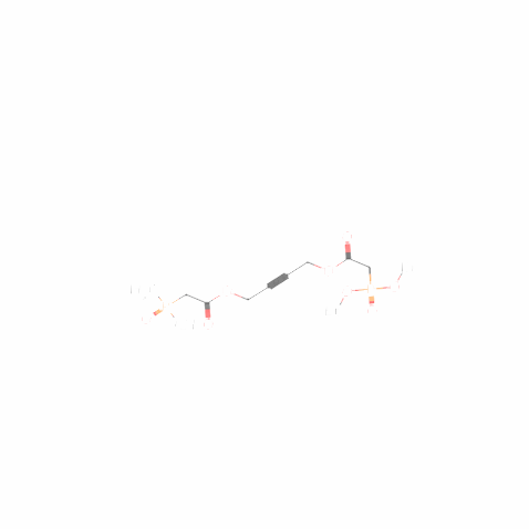 CCOP(=O)(CC(=O)OCC#CCOC(=O)CP(C)(C)=O)OCC